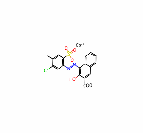 Cc1cc(S(=O)(=O)[O-])c(N=Nc2c(O)c(C(=O)[O-])cc3ccccc23)cc1Cl.[Ca+2]